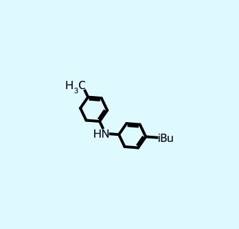 CCC(C)C1=CCC(NC2=CC=C(C)CC2)C=C1